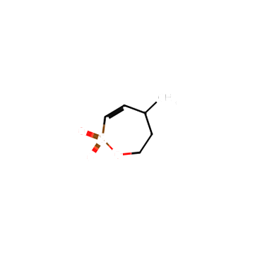 CC1C=CS(=O)(=O)OCC1